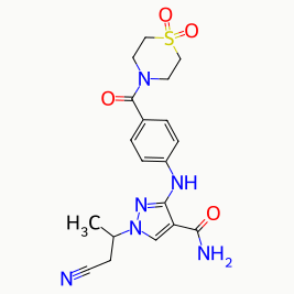 CC(CC#N)n1cc(C(N)=O)c(Nc2ccc(C(=O)N3CCS(=O)(=O)CC3)cc2)n1